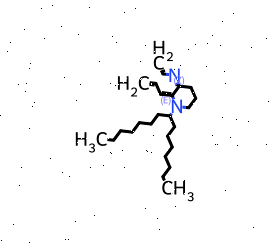 C=C/C=C1\C(=N/C=C)CCCN1C(CCCCCCC)CCCCCCC